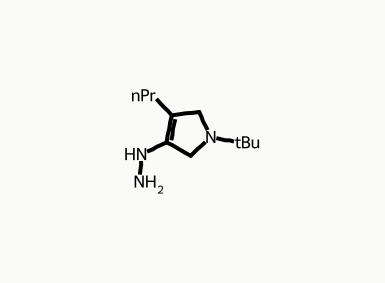 CCCC1=C(NN)CN(C(C)(C)C)C1